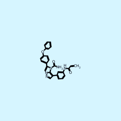 C=CC(=O)Nc1cccc(-c2cnn3cc(-c4ccc(Oc5ccccc5)cc4)n(C(N)=O)c23)c1